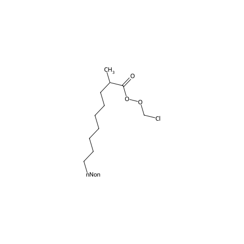 CCCCCCCCCCCCCCCCC(C)C(=O)OOCCl